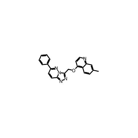 Cc1ccc2c(OCc3nnc4ccc(-c5ccccc5)nn34)ccnc2c1